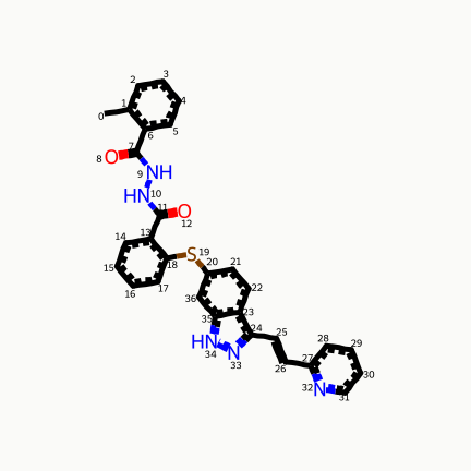 Cc1ccccc1C(=O)NNC(=O)c1ccccc1Sc1ccc2c(/C=C/c3ccccn3)n[nH]c2c1